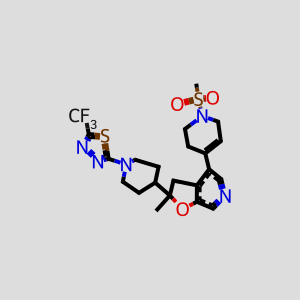 CC1(C2CCN(c3nnc(C(F)(F)F)s3)CC2)Cc2c(cncc2C2=CCN(S(C)(=O)=O)CC2)O1